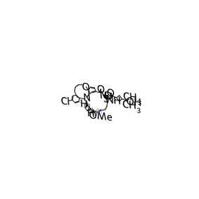 CO[C@H]1/C=C/CCCS(=O)(NC(=O)C2CC(C(C)(C)O)C2)=NC(=O)c2ccc3c(c2)N(Cc2ccc(Cl)cc2CCCCO3)C[C@@H]2CC[C@H]21